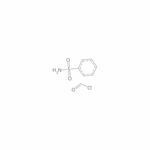 NS(=O)(=O)c1ccccc1.O=CCl